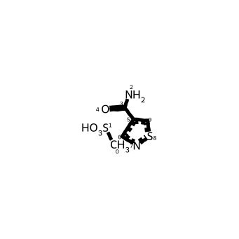 CS(=O)(=O)O.NC(=O)c1cnsc1